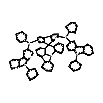 C1=CC2C3C(=C1)c1ccccc1N3c1ccccc1C21c2cc(N(c3ccccc3)c3ccc4c(c3)c3ccccc3n4-c3ccccc3)ccc2-c2ccc(N(c3ccccc3)c3ccc4c(c3)c3ccccc3n4-c3ccccc3)cc21